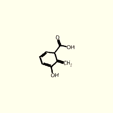 C=C1C(O)=CC=CC1C(=O)O